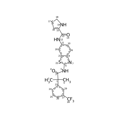 CC(C)(C(=O)Nc1nc2ccc(NC(=O)C3=CSCN3)cc2s1)c1cccc(C(F)(F)F)c1